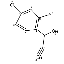 C#CC(O)c1ccc(Cl)cc1F